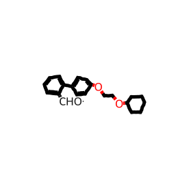 O=[C]c1ccccc1-c1ccc(OCCOC2CCCCC2)cc1